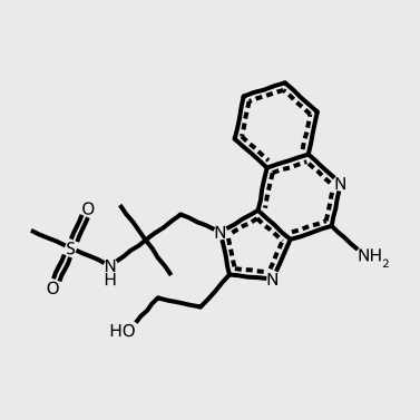 CC(C)(Cn1c(CCO)nc2c(N)nc3ccccc3c21)NS(C)(=O)=O